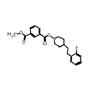 COC(=O)c1cccc(C(=O)ON2CCC(CCc3ccccc3F)CC2)c1